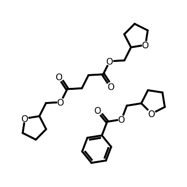 O=C(CCC(=O)OCC1CCCO1)OCC1CCCO1.O=C(OCC1CCCO1)c1ccccc1